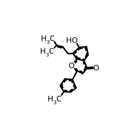 CC(C)=CCc1c(O)ccc2c(=O)cc(-c3ccc(C)cc3)oc12